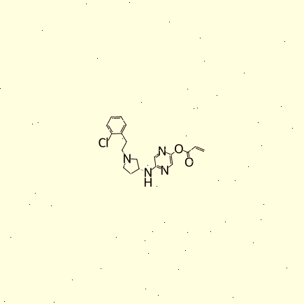 C=CC(=O)Oc1cnc(N[C@@H]2CCN(CCc3ccccc3Cl)C2)cn1